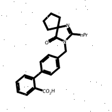 CCCC1=NC2(CCCC2)C(=O)N1Cc1ccc(-c2ccccc2C(=O)O)cc1